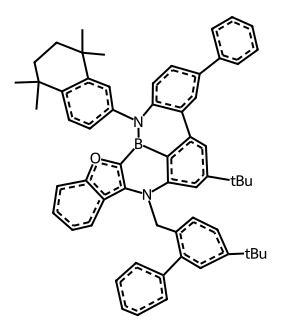 CC(C)(C)c1ccc(CN2c3cc(C(C)(C)C)cc4c3B(c3oc5ccccc5c32)N(c2ccc3c(c2)C(C)(C)CCC3(C)C)c2ccc(-c3ccccc3)cc2-4)c(-c2ccccc2)c1